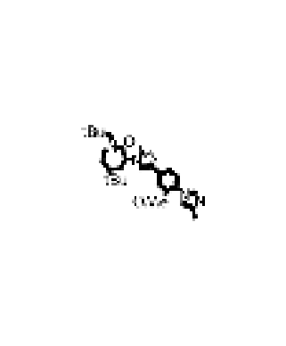 COc1cc(-c2cn([C@H]3CC(C(C)(C)C)CCN(CC(C)(C)C)C3=O)nn2)ccc1-n1cnc(C)c1